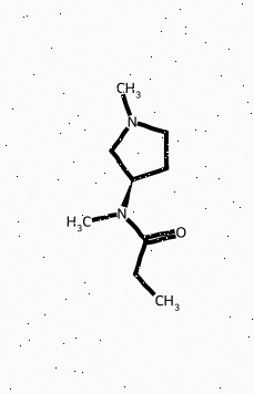 CCC(=O)N(C)[C@@H]1CCN(C)C1